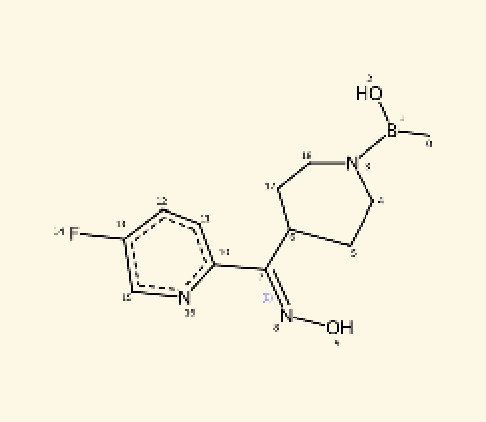 CB(O)N1CCC(/C(=N\O)c2ccc(F)cn2)CC1